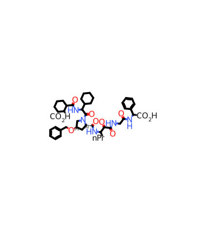 CCCC(NC(=O)[C@@H]1C[C@@H](OCc2ccccc2)CN1C(=O)C(NC(=O)C1CCCCC1C(=O)O)C1CCCCC1)C(=O)C(=O)NCC(=O)NC(C(=O)O)c1ccccc1